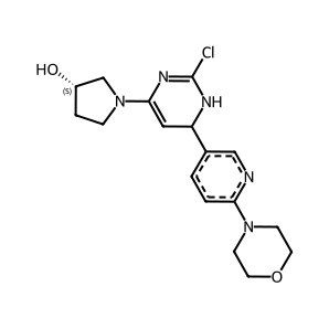 O[C@H]1CCN(C2=CC(c3ccc(N4CCOCC4)nc3)NC(Cl)=N2)C1